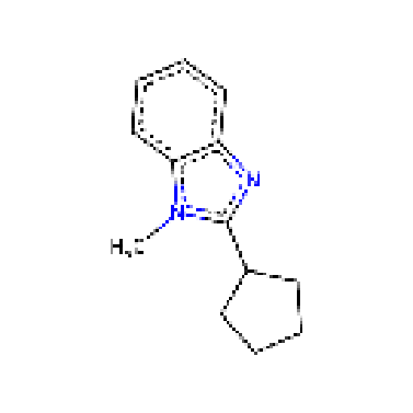 Cn1c(C2CCCC2)nc2ccccc21